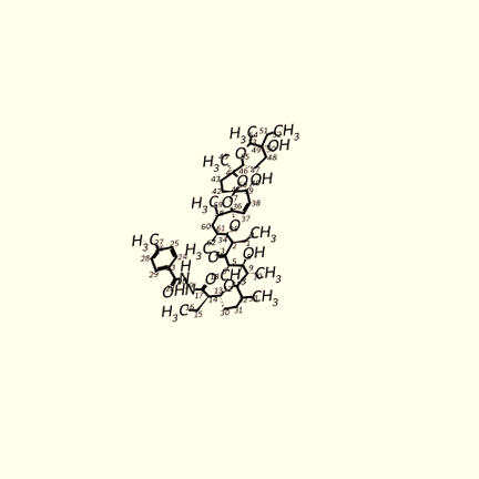 CC[C@@H](C(=O)[C@@H](C)[C@@H](O)[C@H](C)[C@@H]1O[C@@H]([C@@H](CC)C(=O)NNC(=O)c2ccc(C)cc2)CCC1C)[C@H]1O[C@]2(C=C[C@@H](O)[C@]3(CC[C@@](C)([C@H]4CC[C@](O)(CC)[C@H](C)O4)O3)O2)[C@H](C)C[C@@H]1C